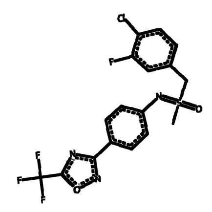 CS(=O)(Cc1ccc(Cl)c(F)c1)=Nc1ccc(-c2noc(C(F)(F)F)n2)cc1